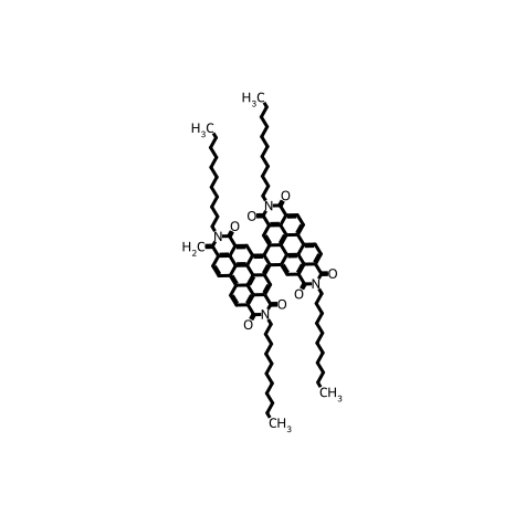 C=c1c2ccc3c4ccc5c6c(cc7c8c9cc%10c(=O)n(CCCCCCCCCCC)c(=O)c%11ccc%12c%13ccc%14c(=O)n(CCCCCCCCCCC)c(=O)c%15cc(c8c8cc(c(=O)n1CCCCCCCCCCC)c2c3c8c7c64)c(c%13c%14%15)c9c%12c%11%10)C(=O)N(CCCCCCCCCCC)C5=O